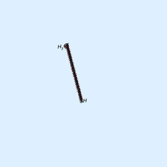 COS(=S)(=S)SSSSSSSSSSSSSSSSSSSSSSSSSSSSSSSSSSSSSSSSSSSSSSSSSSSSSSSSSSSSSSSSSSSSS